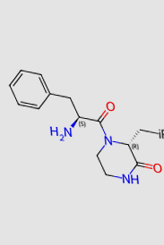 CC(C)C[C@@H]1C(=O)NCCN1C(=O)[C@@H](N)Cc1ccccc1